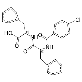 O=C(N[C@@H](Cc1ccccc1)C(=O)N[C@@H](Cc1ccccc1)C(=O)O)c1ccc(Cl)cc1